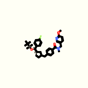 COc1ccc(CN(C)C(=O)c2ccc(CC3CC[C@H]([C@H](O[Si](C)(C)C(C)(C)C)c4ccc(F)cc4)C3)cc2)cn1